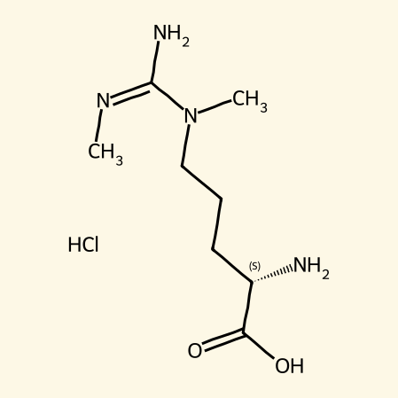 CN=C(N)N(C)CCC[C@H](N)C(=O)O.Cl